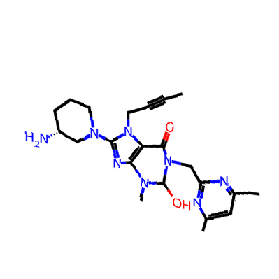 CC#CCn1c(N2CCC[C@@H](N)C2)nc2c1C(=O)N(Cc1nc(C)cc(C)n1)C(O)N2C